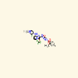 CN1CC[C@@H](Nc2cccn3c(SC(F)(F)F)c(-c4noc(CNC(=O)OC(C)(C)C)n4)nc23)[C@@H](F)C1